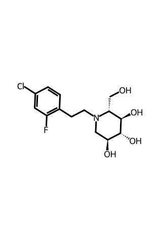 OC[C@@H]1[C@@H](O)[C@H](O)[C@@H](O)CN1CCc1ccc(Cl)cc1F